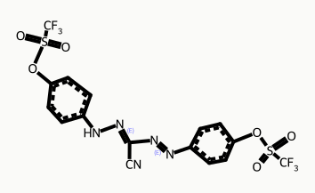 N#CC(/N=N/c1ccc(OS(=O)(=O)C(F)(F)F)cc1)=N\Nc1ccc(OS(=O)(=O)C(F)(F)F)cc1